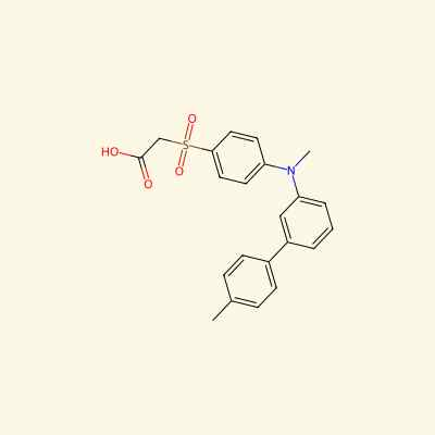 Cc1ccc(-c2cccc(N(C)c3ccc(S(=O)(=O)CC(=O)O)cc3)c2)cc1